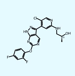 C[C@H](O)CNc1cc(-c2n[nH]c3nc(Oc4ccc(F)cc4F)ncc23)c(Cl)cn1